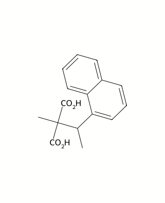 CC(c1cccc2ccccc12)C(C)(C(=O)O)C(=O)O